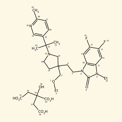 CCOCC1(CCn2c(=O)n(CC)c3cc(F)c(F)cc32)CCN(C(C)(C)c2ccc(C)nc2)C1.O=C(O)CC(O)(CC(=O)O)C(=O)O